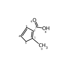 CC1=CC=CC1.O=CO